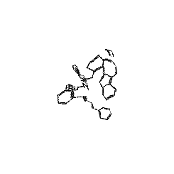 C(C=Cc1ccccc1)=Cc1ccccc1.CN([Si](=O)CC1=c2c(cccc3c4c(cc2-3)=CC=CC4)C=CC1)C(C)(C)C.[Ti]